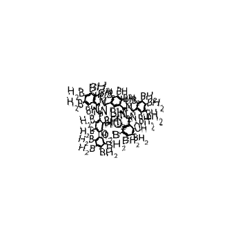 Bc1c(B)c(B)c(-c2nc(-c3c(B)c(B)c(B)c(-c4nc(-c5c(B)c(B)c(B)c(B)c5B)nc(-c5c(B)c(B)c6c(oc7c(B)c(B)c(B)c(B)c76)c5B)n4)c3B)nc(-c3c(O)c(B)c(B)c(B)c3O)n2)c(B)c1B